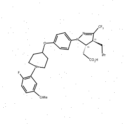 COc1ccc(F)c(N2CCC(Oc3ccc(N4N=C(C(F)(F)F)[C@@H](CC(C)C)[C@@H]4CC(=O)O)cc3)CC2)c1